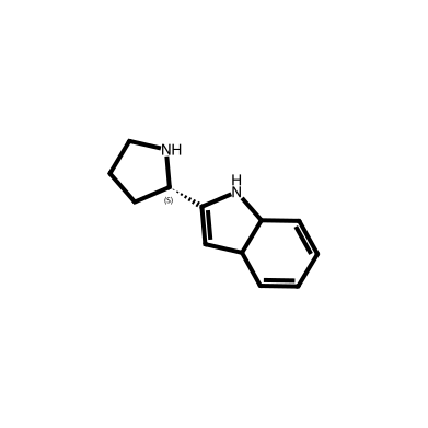 C1=CC2C=C([C@@H]3CCCN3)NC2C=C1